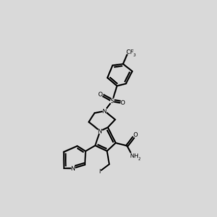 NC(=O)c1c(CI)c(-c2cccnc2)n2c1CN(S(=O)(=O)c1ccc(C(F)(F)F)cc1)CC2